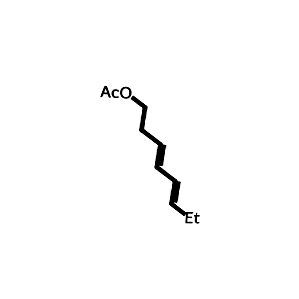 CC/C=C/C=C/CCOC(C)=O